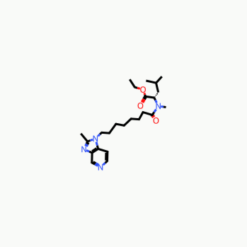 CCOC(=O)[C@H](CC(C)C)N(C)C(=O)CCCCCCCn1c(C)nc2cnccc21